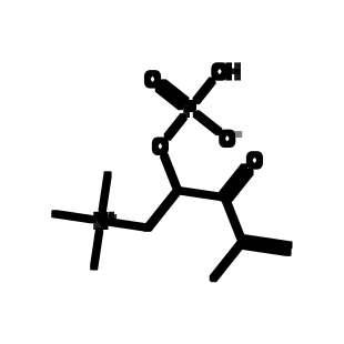 C=C(C)C(=O)C(C[N+](C)(C)C)OP(=O)([O-])O